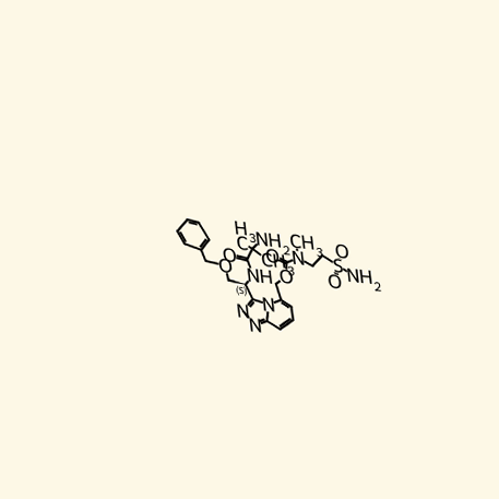 CN(CCS(N)(=O)=O)C(=O)OCc1cccc2nnc([C@@H](COCc3ccccc3)NC(=O)C(C)(C)N)n12